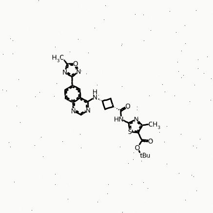 Cc1nc(-c2ccc3ncnc(N[C@H]4C[C@@H](C(=O)Nc5nc(C)c(C(=O)OC(C)(C)C)s5)C4)c3c2)no1